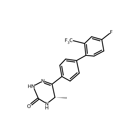 C[C@@H]1NC(=O)NN=C1c1ccc(-c2ccc(F)cc2C(F)(F)F)cc1